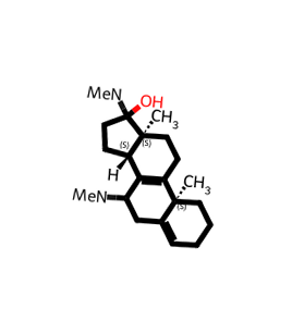 CNC1CC2=CCCC[C@]2(C)C2=C1[C@@H]1CCC(O)(NC)[C@@]1(C)CC2